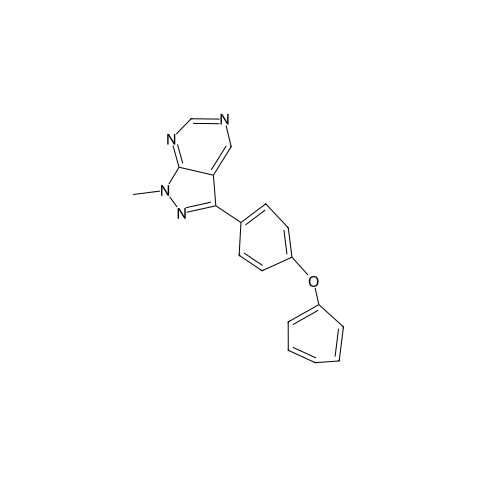 Cn1nc(-c2ccc(Oc3ccccc3)cc2)c2cncnc21